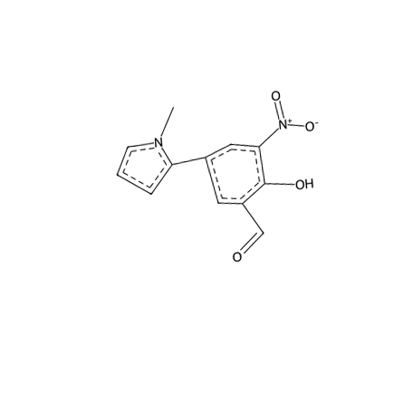 Cn1cccc1-c1cc(C=O)c(O)c([N+](=O)[O-])c1